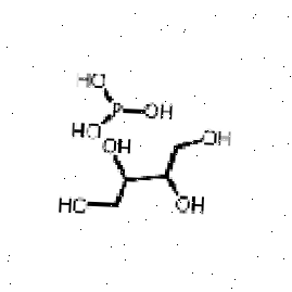 OCC(O)C(O)CO.OP(O)O